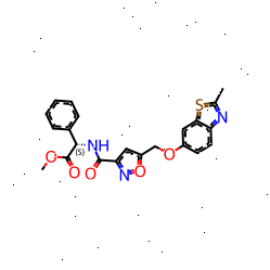 COC(=O)[C@@H](NC(=O)c1cc(COc2ccc3nc(C)sc3c2)on1)c1ccccc1